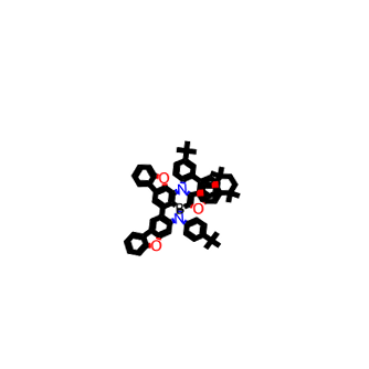 CC(C)(C)c1ccc(N2B3c4oc5cc6c(cc5c4N(c4ccc(C(C)(C)C)cc4-c4ccccc4)c4c3c(cc3c4oc4ccccc43)-c3cc4c(cc32)oc2ccccc24)C(C)(C)CCC6(C)C)cc1